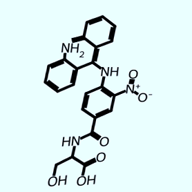 C=c1cccc/c1=C(\Nc1ccc(C(=O)NC(CO)C(=O)O)cc1[N+](=O)[O-])c1ccccc1N